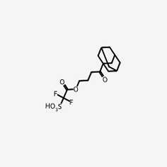 O=C(CCCOC(=O)C(F)(F)S(=O)(=O)O)C12CC3CC(CC(C3)C1)C2